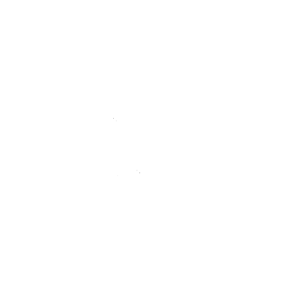 COC(=O)C(Cc1ccc(O)c(O)c1)NC(=O)Oc1cc(C(=O)c2ccc(C)cc2)cc([N+](=O)[O-])c1O